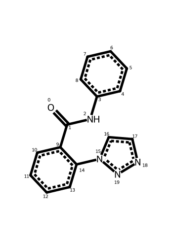 O=C(Nc1ccccc1)c1ccccc1-n1ccnn1